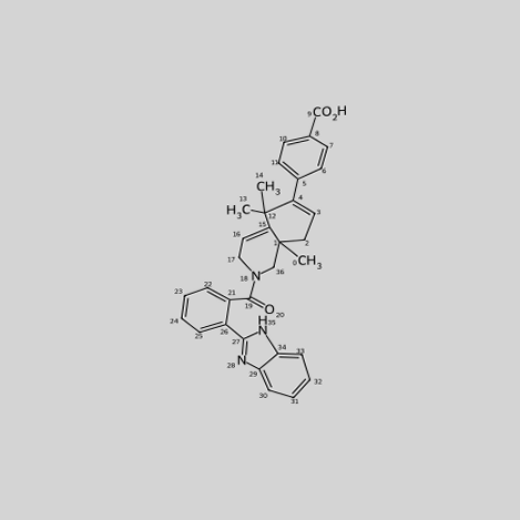 CC12CC=C(c3ccc(C(=O)O)cc3)C(C)(C)C1=CCN(C(=O)c1ccccc1-c1nc3ccccc3[nH]1)C2